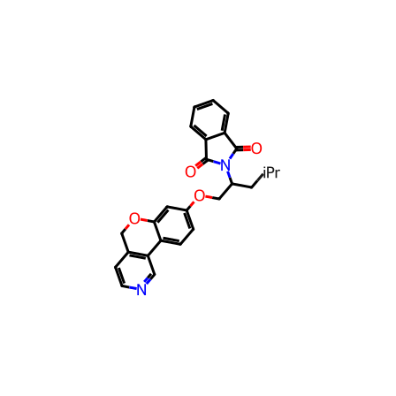 CC(C)CC(COc1ccc2c(c1)OCc1ccncc1-2)N1C(=O)c2ccccc2C1=O